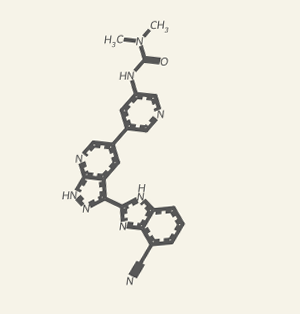 CN(C)C(=O)Nc1cncc(-c2cnc3[nH]nc(-c4nc5c(C#N)cccc5[nH]4)c3c2)c1